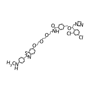 CNc1ccc(-c2nc3ccc(OCCOCCOCCNC(=O)c4ccc(COC(Cn5ccnc5)c5ccc(Cl)cc5Cl)cc4)cc3s2)cc1